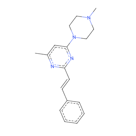 Cc1cc(N2CCN(C)CC2)nc(/C=C/c2ccccc2)n1